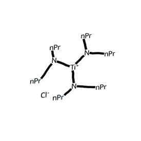 CCC[N](CCC)[Ti+]([N](CCC)CCC)[N](CCC)CCC.[Cl-]